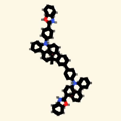 CC1(C)c2cc(-c3ccc(N(c4ccc(-c5nc6ccccc6o5)cc4)c4ccccc4-c4ccccc4)cc3)ccc2-c2ccc(N(c3ccc(-c4nc5ccccc5o4)cc3)c3ccccc3-c3ccccc3)cc21